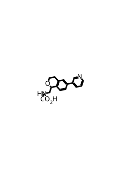 O=C(O)NCC1OCCc2cc(-c3cccnc3)ccc21